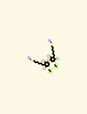 N#CSCCCCCCc1c(Cl)c(Oc2cc(SCC(F)(F)F)c(Cl)c(CCCCCCSC#N)c2Cl)cc(SCC(F)(F)F)c1Cl